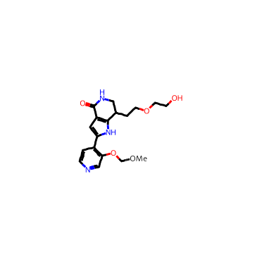 COCOc1cnccc1-c1cc2c([nH]1)C(CCOCCO)CNC2=O